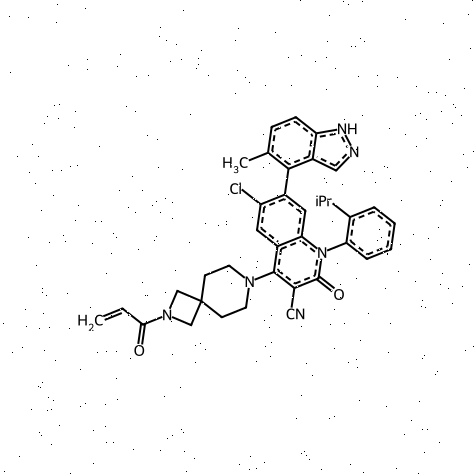 C=CC(=O)N1CC2(CCN(c3c(C#N)c(=O)n(-c4ccccc4C(C)C)c4cc(-c5c(C)ccc6[nH]ncc56)c(Cl)cc34)CC2)C1